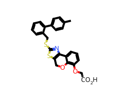 Cc1ccc(-c2ccccc2CSc2nc3c(s2)COc2c(OCC(=O)O)cccc2-3)cc1